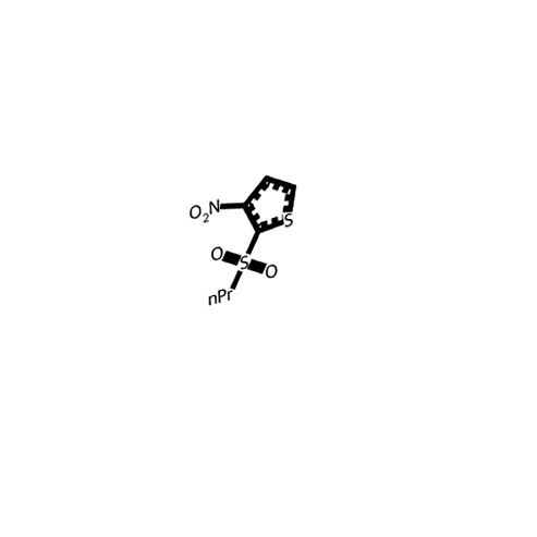 CCCS(=O)(=O)c1sccc1[N+](=O)[O-]